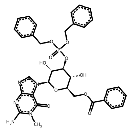 Cn1c(N)nc2ncn([C@@H]3O[C@H](COC(=O)c4ccccc4)[C@@H](O)[C@H](OP(=O)(OCc4ccccc4)OCc4ccccc4)[C@H]3O)c2c1=O